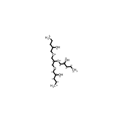 CCCC(O)COCC(COCC(O)CCC)OCC(O)CCC